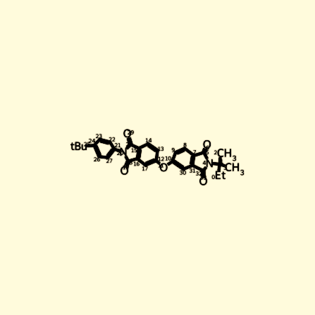 CCC(C)(C)N1C(=O)c2ccc(Oc3ccc4c(c3)C(=O)N(c3ccc(C(C)(C)C)cc3)C4=O)cc2C1=O